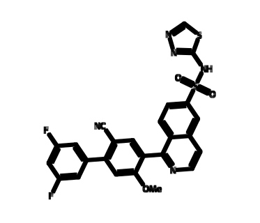 COc1cc(-c2cc(F)cc(F)c2)c(C#N)cc1-c1nccc2cc(S(=O)(=O)Nc3nncs3)ccc12